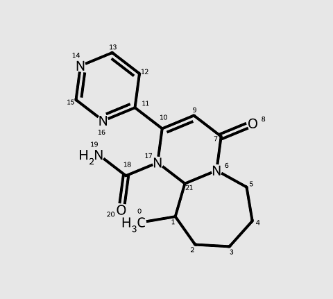 CC1CCCCN2C(=O)C=C(c3ccncn3)N(C(N)=O)C12